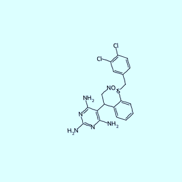 Nc1nc(N)c(C(C[N+](=O)[O-])c2ccccc2SCc2ccc(Cl)c(Cl)c2)c(N)n1